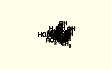 C[C@H](CCC(=O)O)[C@H]1CC[C@H]2[C@@H]3CC[C@@H]4C[C@H](O)CC[C@]4(C)[C@H]3C[C@H](O)[C@]12C.C[C@H](CCC(=O)O)[C@H]1CC[C@H]2[C@@H]3[C@H](O)C[C@@H]4C[C@H](O)CC[C@]4(C)[C@H]3C[C@H](O)[C@]12C